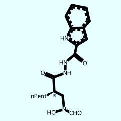 CCCCC[C@H](CN(O)C=O)C(=O)NNC(=O)c1cc2ccccc2[nH]1